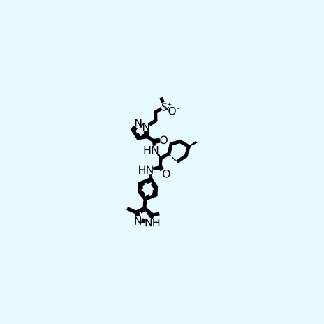 Cc1n[nH]c(C)c1-c1ccc(NC(=O)[C@@H](NC(=O)c2ccnn2CC[S+](C)[O-])[C@H]2CC[C@H](C)CC2)cc1